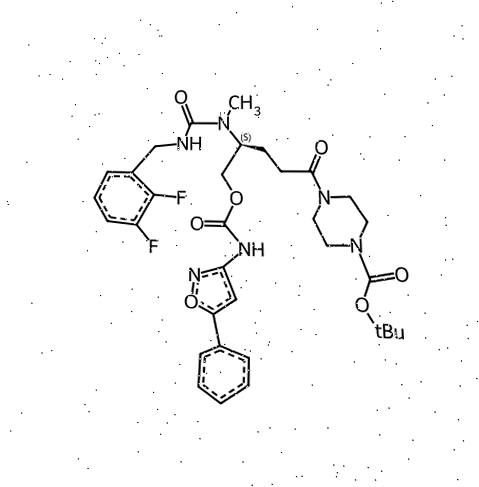 CN(C(=O)NCc1cccc(F)c1F)[C@@H](CCC(=O)N1CCN(C(=O)OC(C)(C)C)CC1)COC(=O)Nc1cc(-c2ccccc2)on1